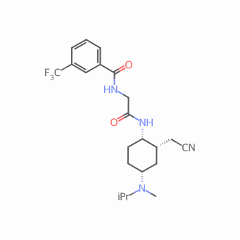 CC(C)N(C)[C@@H]1CC[C@H](NC(=O)CNC(=O)c2cccc(C(F)(F)F)c2)[C@H](CC#N)C1